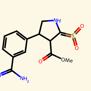 COC(=O)C1C(=S(=O)=O)NCC1c1cccc(C(=N)N)c1